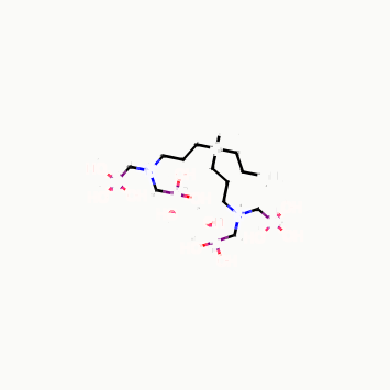 C[Si](CC[SiH3])(CCCN(C[PH](O)(O)O)C[PH](O)(O)O)CCCN(C[PH](O)(O)O)C[PH](O)(O)O